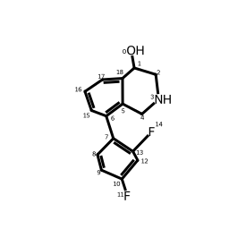 OC1CNCc2c(-c3ccc(F)cc3F)cccc21